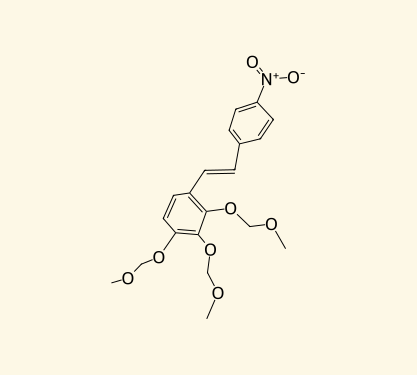 COCOc1ccc(C=Cc2ccc([N+](=O)[O-])cc2)c(OCOC)c1OCOC